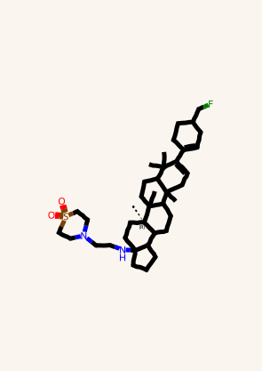 CC1(C)C(C2=CCC(CF)CC2)=CCC2(C)C1CCC1(C)C2CCC2C3CCCC3(NCCN3CCS(=O)(=O)CC3)CC[C@]21C